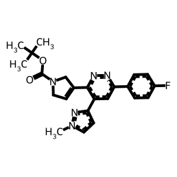 Cn1ccc(-c2cc(-c3ccc(F)cc3)nnc2C2=CCN(C(=O)OC(C)(C)C)C2)n1